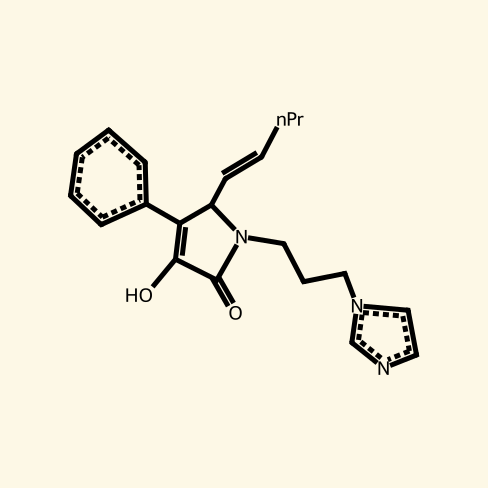 CCCC=CC1C(c2ccccc2)=C(O)C(=O)N1CCCn1ccnc1